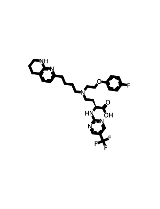 O=C(O)[C@H](CCN(CCCCc1ccc2c(n1)NCCC2)CCOc1ccc(F)cc1)Nc1ncc(C(F)(F)F)cn1